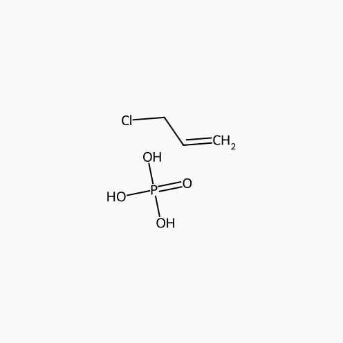 C=CCCl.O=P(O)(O)O